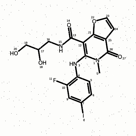 Cn1c(Nc2ccc(I)cc2F)c(C(=O)NCC(O)CO)c2occc2c1=O